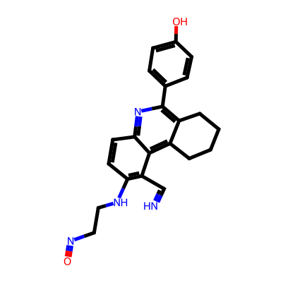 N=Cc1c(NCCN=O)ccc2nc(-c3ccc(O)cc3)c3c(c12)CCCC3